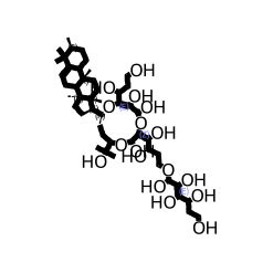 C[C@H]1CCC2C(=CCC3[C@@]2(C)CC[C@]2(C)[C@@H]([C@H]4CCC(C(C)(C)O)OC(O)/C(=C(/O)C(O)CCOC(O)/C(O)=C(\O)C(O)CCO)OC(O)/C(O)=C(/C(O)CCO)O4)CC[C@@]32C)C1(C)C